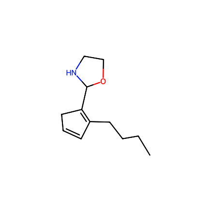 CCCCC1=C(C2NCCO2)CC=C1